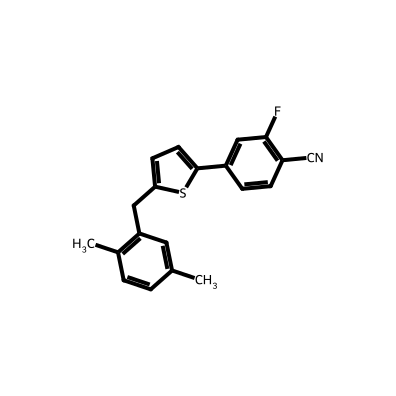 Cc1ccc(C)c(Cc2ccc(-c3ccc(C#N)c(F)c3)s2)c1